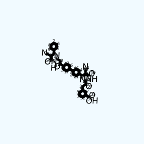 N#Cc1c(-c2ccccc2)nc(CC(=O)c2ccc(-c3ccc(-c4nc(C(=O)Cc5cccc(C(=O)O)c5)[nH]c(=O)c4C#N)cc3)cc2)[nH]c1=O